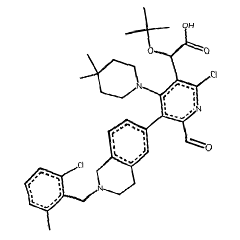 Cc1cccc(Cl)c1CN1CCc2cc(-c3c(C=O)nc(Cl)c(C(OC(C)(C)C)C(=O)O)c3N3CCC(C)(C)CC3)ccc2C1